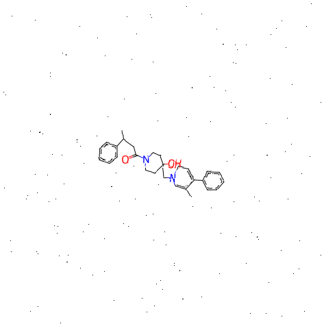 CC1=CN(CC2(O)CCN(C(=O)CC(C)c3ccccc3)CC2)CC=C1c1ccccc1